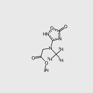 [2H]C([2H])([2H])N(CC(=O)OC(C)C)c1nc(=O)o[nH]1